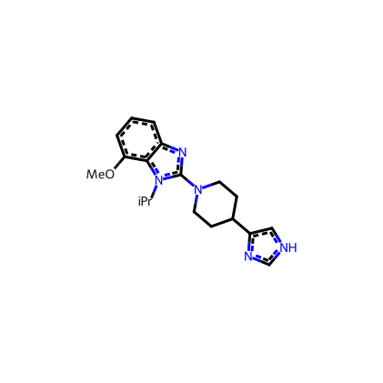 COc1cccc2nc(N3CCC(c4c[nH]cn4)CC3)n(C(C)C)c12